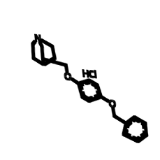 Cl.c1ccc(COc2ccc(OCC3CN4CCC3CC4)cc2)cc1